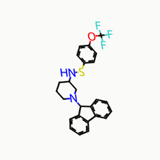 FC(F)(F)Oc1ccc(SNC2CCCN(C3c4ccccc4-c4ccccc43)C2)cc1